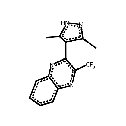 Cc1n[nH]c(C)c1-c1nc2ccccc2nc1C(F)(F)F